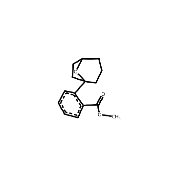 COC(=O)c1ccccc1C12CCCC(CC1)O2